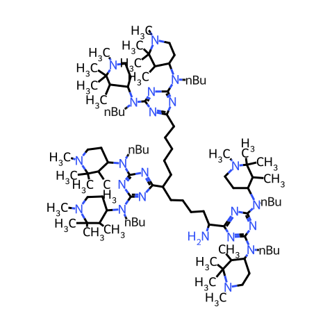 CCCCN(c1nc(CCCCCC(CCCCC(N)c2nc(N(CCCC)C3CCN(C)C(C)(C)C3C)nc(N(CCCC)C3CCN(C)C(C)(C)C3C)n2)c2nc(N(CCCC)C3CCN(C)C(C)(C)C3C)nc(N(CCCC)C3CCN(C)C(C)(C)C3C)n2)nc(N(CCCC)C2CCN(C)C(C)(C)C2C)n1)C1CCN(C)C(C)(C)C1C